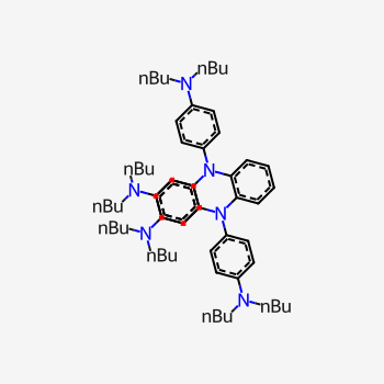 CCCCN(CCCC)c1ccc(N(c2ccc(N(CCCC)CCCC)cc2)c2ccccc2N(c2ccc(N(CCCC)CCCC)cc2)c2ccc(N(CCCC)CCCC)cc2)cc1